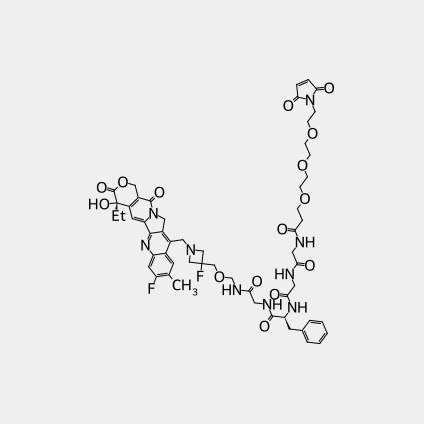 CC[C@@]1(O)C(=O)OCc2c1cc1n(c2=O)Cc2c-1nc1cc(F)c(C)cc1c2CN1CC(F)(COCNC(=O)CNC(=O)[C@H](Cc2ccccc2)NC(=O)CNC(=O)CNC(=O)CCOCCOCCOCCN2C(=O)C=CC2=O)C1